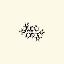 c1ccn(P(Oc2ccc3c(c2-c2c(OP(n4cccc4)n4cccc4)ccc4c2CCCC4)CCCC3)n2cccc2)c1